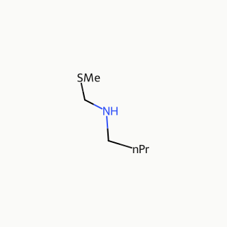 CCCCNCSC